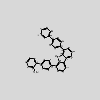 N#Cc1ccccc1-c1ccc(-c2cccc3c2oc2c(-c4ccc(-c5cccnc5)cc4)cccc23)cc1